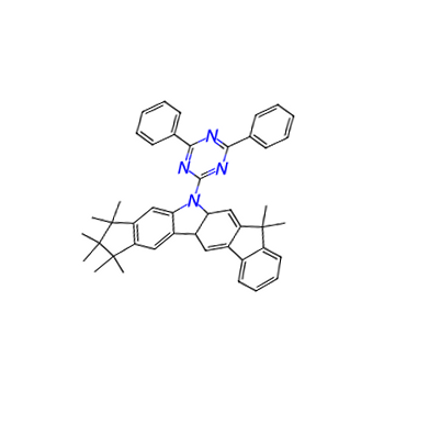 CC1(C)C2=CC3C(C=C2c2ccccc21)c1cc2c(cc1N3c1nc(-c3ccccc3)nc(-c3ccccc3)n1)C(C)(C)C(C)(C)C2(C)C